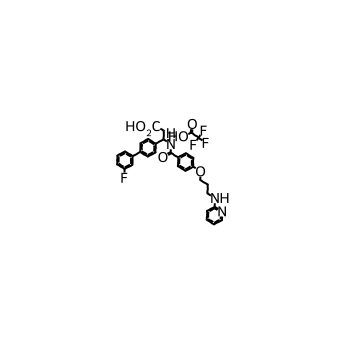 O=C(O)C(F)(F)F.O=C(O)CC(NC(=O)c1ccc(OCCCNc2ccccn2)cc1)c1ccc(-c2cccc(F)c2)cc1